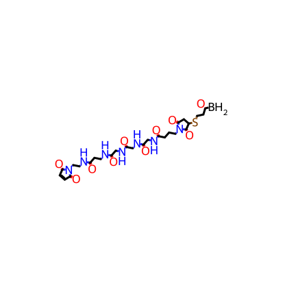 BC(=O)CCSC1CC(=O)N(CCCC(=O)NCC(=O)NCC(=O)NCC(=O)NCCC(=O)NCCN2C(=O)C=CC2=O)C1=O